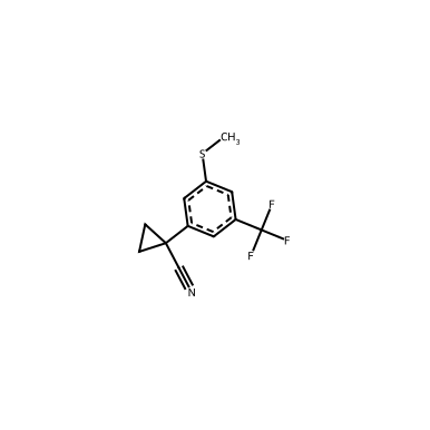 CSc1cc(C(F)(F)F)cc(C2(C#N)CC2)c1